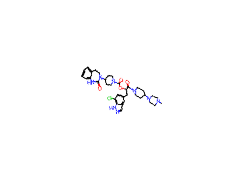 CN1CCN(C2CCN(C(=O)C(Cc3cc(Cl)c4[nH]ncc4c3)OC(=O)N3CCC(N4CCc5ccccc5NC4=O)CC3)CC2)CC1